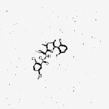 COc1ccc(Cl)c(S(=O)(=O)NC(=O)C2=NC(c3c(F)cccc3F)=C(C)CC2C)c1